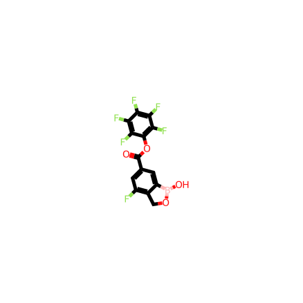 O=C(Oc1c(F)c(F)c(F)c(F)c1F)c1cc(F)c2c(c1)B(O)OC2